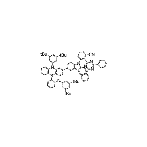 CC(C)(C)c1cc(N2c3ccccc3B3c4ccccc4N(c4cc(C(C)(C)C)cc(C(C)(C)C)c4)c4cc(-c5ccc6c(c5)c5ccccc5n6-c5cccc(C#N)c5-c5nc(-c6ccccc6)nc(-c6ccccc6)n5)cc2c43)cc(C(C)(C)C)c1